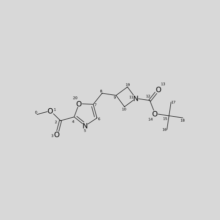 COC(=O)c1ncc(CC2CN(C(=O)OC(C)(C)C)C2)o1